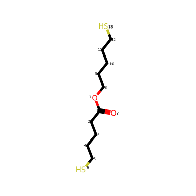 O=C(CCCCS)OCCCCCS